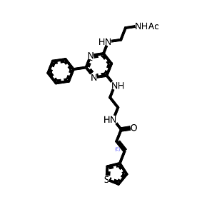 CC(=O)NCCNc1cc(NCCNC(=O)/C=C/c2ccsc2)nc(-c2ccccc2)n1